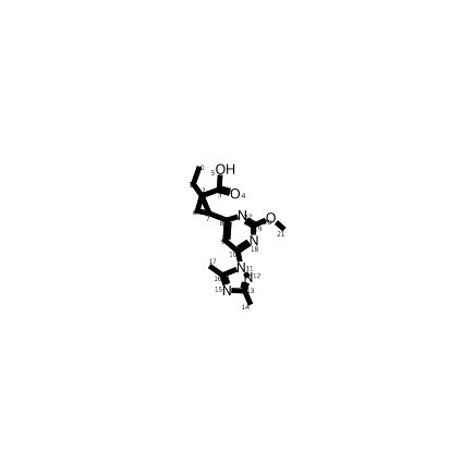 CCC1(C(=O)O)CC1c1cc(-n2nc(C)nc2C)nc(OC)n1